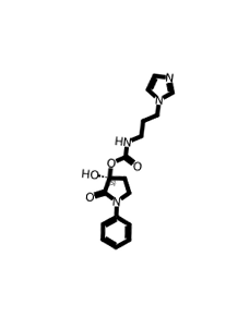 O=C(NCCCn1ccnc1)O[C@@]1(O)CCN(c2ccccc2)C1=O